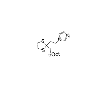 CCCCCCCCCC1(CCn2ccnc2)SCCS1